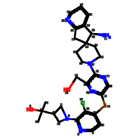 CC(C)(O)C1CN(c2nccc(Sc3cnc(N4CCC5(CC4)Cc4ncccc4[C@H]5N)c(CO)n3)c2Cl)C1